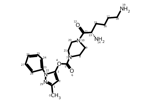 Cc1cc(OC(=O)N2CCN(C(=O)[C@@H](N)CCCCN)CC2)n(-c2ccccc2)n1